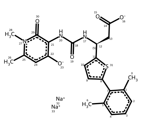 Cc1cccc(C)c1-c1ccc([C@H](CC(=O)[O-])NC(=O)Nc2c([O-])cc(C)n(C)c2=O)s1.[Na+].[Na+]